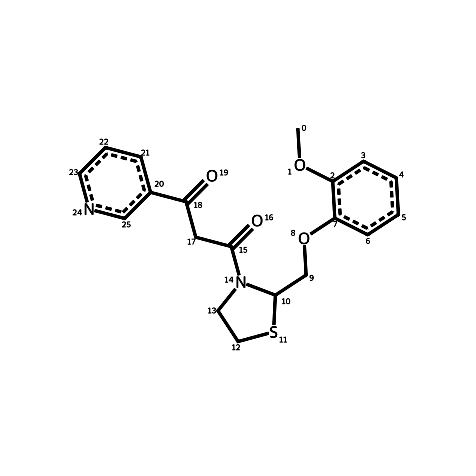 COc1ccccc1OCC1SCCN1C(=O)CC(=O)c1cccnc1